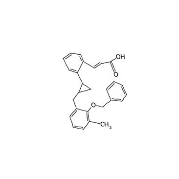 Cc1cccc(CC2CC2c2ccccc2C=CC(=O)O)c1OCc1ccccc1